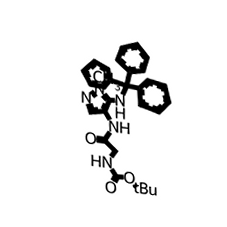 Cn1ncc(NC(=O)CNC(=O)OC(C)(C)C)c1NC(c1ccccc1)(c1ccccc1)c1ccccc1